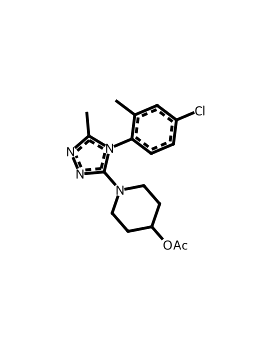 CC(=O)OC1CCN(c2nnc(C)n2-c2ccc(Cl)cc2C)CC1